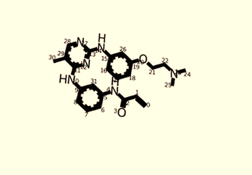 C=CC(=O)Nc1cccc(Nc2nc(Nc3cccc(OCCN(C)C)c3)ncc2C)c1